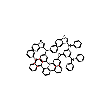 c1ccc(-c2cccc(-c3ccccc3)c2N(c2cccc(Oc3cc(N(c4ccccc4)c4ccccc4)cc(N(c4ccccc4)c4csc5ccccc45)c3)c2)c2cc(C(c3ccccc3)c3csc4ccccc34)cc(N(c3ccccc3)c3ccccc3)c2)cc1